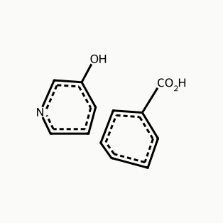 O=C(O)c1ccccc1.Oc1cccnc1